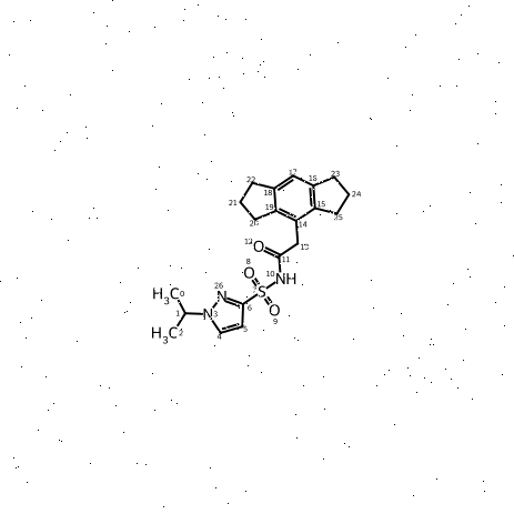 CC(C)n1ccc(S(=O)(=O)NC(=O)Cc2c3c(cc4c2CCC4)CCC3)n1